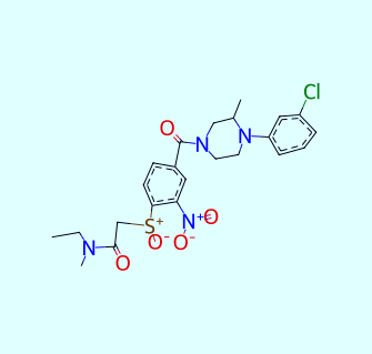 CCN(C)C(=O)C[S+]([O-])c1ccc(C(=O)N2CCN(c3cccc(Cl)c3)C(C)C2)cc1[N+](=O)[O-]